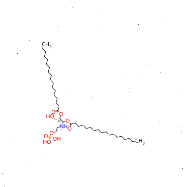 CCCCCCCCCCCCCCCCCC(=O)OC(NCCOP(=O)(O)O)[C@H](CO)OC(=O)CCCCCCCCCCCCCCCCC